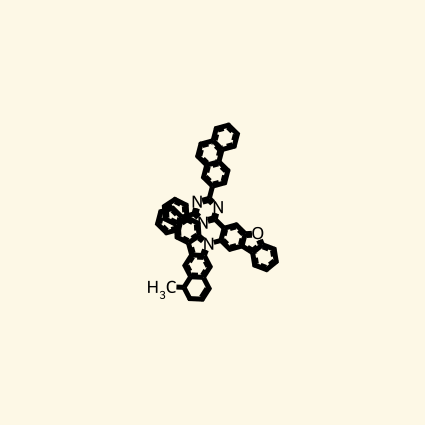 CC1CC=Cc2cc3c(cc21)c1cc2ccccc2cc1n3-c1cc2c(cc1-c1nc(-c3ccccc3)nc(-c3ccc4c(ccc5ccccc54)c3)n1)oc1ccccc12